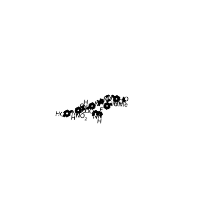 COc1cc(CN2CCN(C3CC4(C3)CN(c3ccc(C(=O)NS(=O)(=O)c5ccc(NCC6CCC(C)(O)CC6)c([N+](=O)[O-])c5)c(Oc5cnc6[nH]cc(F)c6c5)c3)C4)[C@H](c3ccccc3C(C)C)C2)ccc1OC1COC1